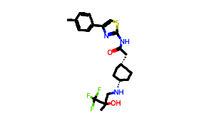 Cc1ccc(-c2csc(NC(=O)C[C@H]3CC[C@@H](NCC(C)(O)C(F)(F)F)CC3)n2)cc1